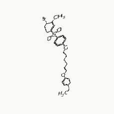 C=Cc1ccc(OCCCCCCOc2ccc(S(=O)(=O)C3=CC(C)C(Br)C=C3)cc2)cc1